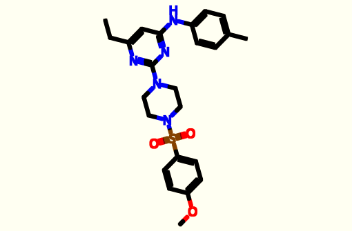 CCc1cc(Nc2ccc(C)cc2)nc(N2CCN(S(=O)(=O)c3ccc(OC)cc3)CC2)n1